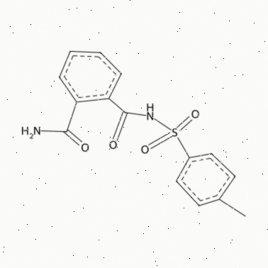 Cc1ccc(S(=O)(=O)NC(=O)c2ccccc2C(N)=O)cc1